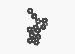 c1ccc(-c2ccc(-c3nc(-c4ccc5sc6ccccc6c5c4)nc(-c4cccc5oc6ccc(-c7cccc(-c8cccc9c8-c8ccccc8C98c9ccccc9-c9ccccc98)c7)cc6c45)n3)cc2)cc1